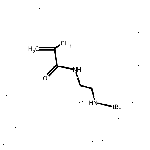 C=C(C)C(=O)NCCNC(C)(C)C